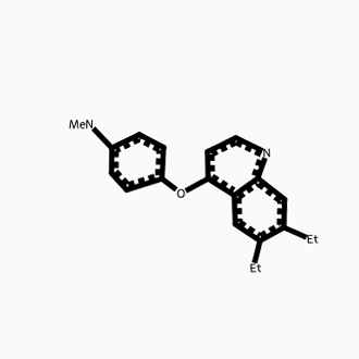 CCc1cc2nccc(Oc3ccc(NC)cc3)c2cc1CC